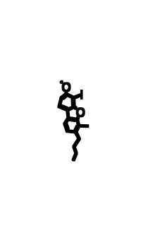 CCCCc1ccc2c(oc3c(I)c(OC)ccc32)c1C